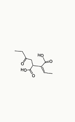 CC=C(C(=O)O)C(CC(=O)CC)C(=O)O